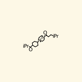 CC(C)CCC(=O)N1CCN(C2CCC(C(=O)C(C)C)CC2)CC1